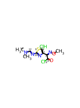 CON=C(C(=O)Cl)c1csc(N=CN(C)C)n1.Cl